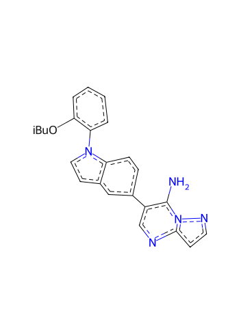 CC(C)COc1ccccc1-n1ccc2cc(-c3cnc4ccnn4c3N)ccc21